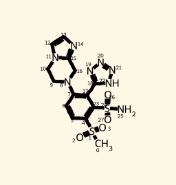 CS(=O)(=O)c1ccc(N2CCn3ccnc3C2)c(-c2nnn[nH]2)c1S(N)(=O)=O